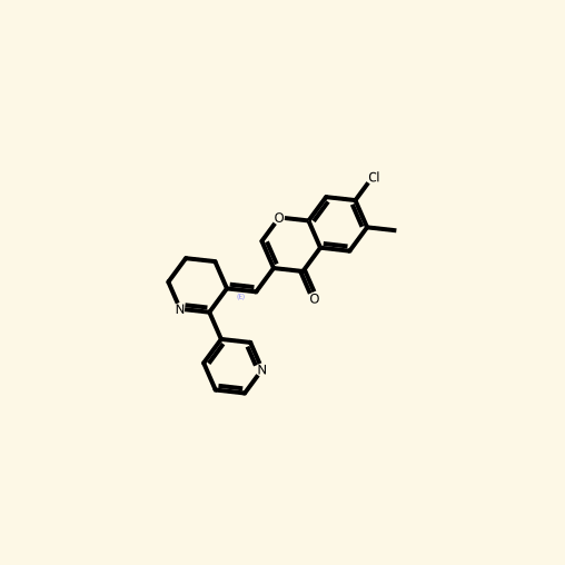 Cc1cc2c(=O)c(/C=C3\CCCN=C3c3cccnc3)coc2cc1Cl